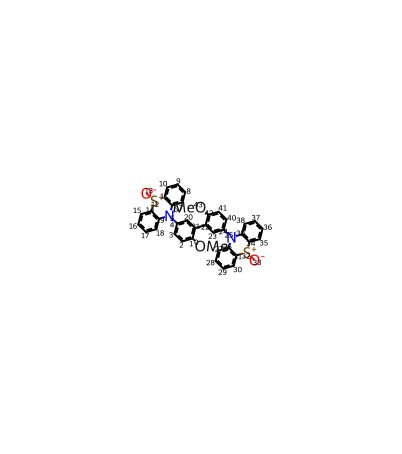 COc1ccc(N2c3ccccc3[S+]([O-])c3ccccc32)cc1-c1cc(N2c3ccccc3[S+]([O-])c3ccccc32)ccc1OC